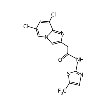 O=C(Cc1cn2cc(Cl)cc(Cl)c2n1)Nc1ncc(C(F)(F)F)s1